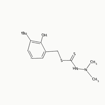 CN(C)NC(=S)SCc1c[c]cc(C(C)(C)C)c1O